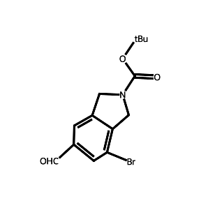 CC(C)(C)OC(=O)N1Cc2cc(C=O)cc(Br)c2C1